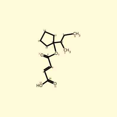 CCC(C)C1(OC(=O)C=CC(=O)O)CCCC1